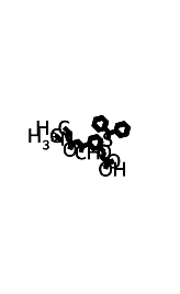 CCN(CC)C(=O)/C=C(\C)c1ccc(SC(c2ccccc2)c2ccccc2)c(OCC(=O)O)c1